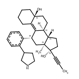 CC#C[C@]1(O)CC[C@H]2[C@@H]3CC[C@@]4(O)CCCCC4=C3[C@@H](c3ccccc3C3CCNC3)C[C@@]21C